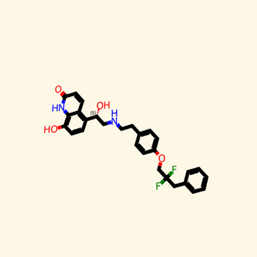 O=c1ccc2c([C@H](O)CNCCc3ccc(OCC(F)(F)Cc4ccccc4)cc3)ccc(O)c2[nH]1